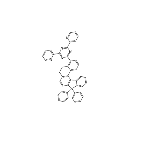 c1ccc(C2(c3ccccc3)c3ccccc3-c3c2ccc2c3-c3cccc(-c4nc(-c5ccccn5)nc(-c5ccccn5)n4)c3CC2)cc1